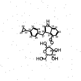 OC[C@H]1O[C@@H](O)[C@H](OOc2cccc3[nH]cc(Cc4ccc(C5CC5)cc4)c23)[C@@H](O)[C@@H]1O